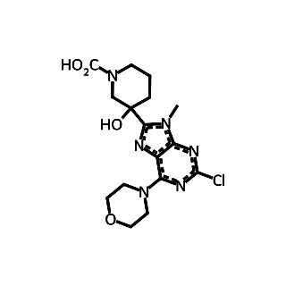 Cn1c(C2(O)CCCN(C(=O)O)C2)nc2c(N3CCOCC3)nc(Cl)nc21